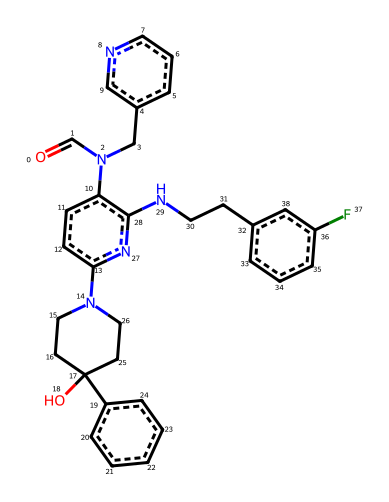 O=CN(Cc1cccnc1)c1ccc(N2CCC(O)(c3ccccc3)CC2)nc1NCCc1cccc(F)c1